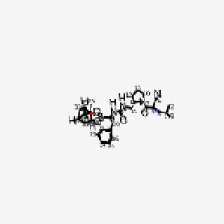 CC(C)/C=C(\C#N)C(=O)N1CCC[C@H]1CNC(=O)N[C@@H](Cc1ccccc1)B1O[C@@H]2C[C@@H]3C[C@@H](C3(C)C)[C@]2(C)O1